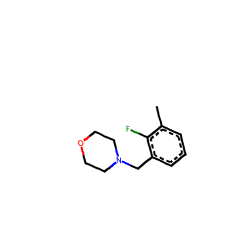 Cc1cccc(CN2CCOCC2)c1F